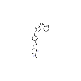 C=C(/C=C\C(C)=C/C)COc1ccc(CC2=NOC(c3cccnc3N)C2)cc1